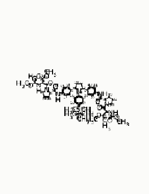 COC(=O)N[C@H](C(=O)N1CCC[C@H]1C(=O)Nc1ccc([C@@H]2CC[C@@H](c3ccc(NC(=O)[C@@H]4CCCN4C(=O)[C@@H](NC(=O)OC)[C@@H](C)OC)cc3)N2c2ccc([Si](C)(C)C(C)(C)C)cc2)cc1)[C@@H](C)OC